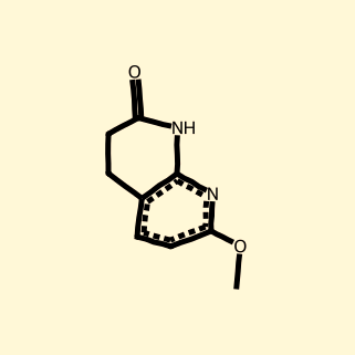 COc1ccc2c(n1)NC(=O)CC2